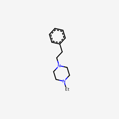 CCN1CCN(CCc2ccccc2)CC1